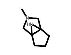 CN1CC23CCCC2(C1)N3